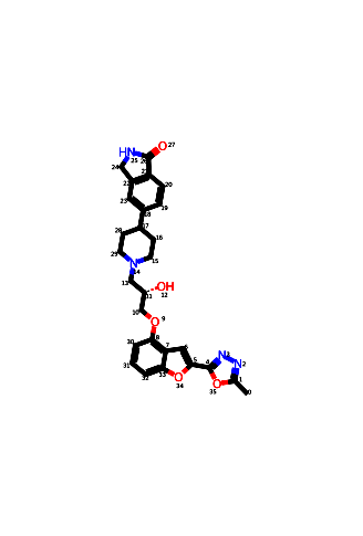 Cc1nnc(-c2cc3c(OC[C@@H](O)CN4CCC(c5ccc6c(c5)CNC6=O)CC4)cccc3o2)o1